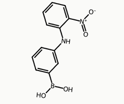 O=[N+]([O-])c1ccccc1Nc1cccc(B(O)O)c1